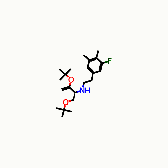 C=C(OC(C)(C)C)[C@H](COC(C)(C)C)NCCc1cc(C)c(C)c(F)c1